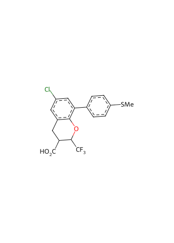 CSc1ccc(-c2cc(Cl)cc3c2OC(C(F)(F)F)C(C(=O)O)C3)cc1